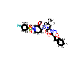 CC(C)CC(NC(=O)c1cc2ccccc2o1)C(=O)N[C@H]1CCCN(S(=O)(=O)c2ccc(F)cc2)CC1=O